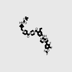 CCc1cc(Nc2nccn3c(-c4ccc(OC(F)F)c(F)c4F)cnc23)ccc1C(=O)N1CCN(C(=O)C2CCN(CC34CC(NC(=O)OC(C)(C)C)(C3)C4)CC2)CC1